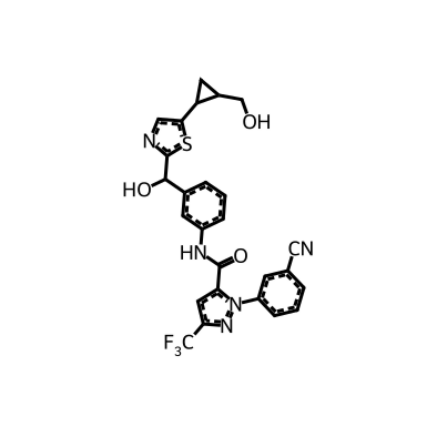 N#Cc1cccc(-n2nc(C(F)(F)F)cc2C(=O)Nc2cccc(C(O)c3ncc(C4CC4CO)s3)c2)c1